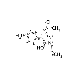 CCCn1nc(CC(C)C)c(-c2ccc(C)cc2)c1O